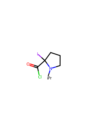 CC(C)N1CCCC1(I)C(=O)Cl